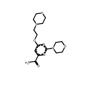 NC(=O)c1cc(OCCN2CCOCC2)nc(N2CCOCC2)n1